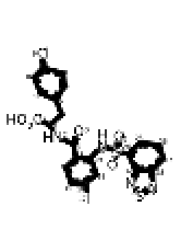 O=C(NC(Cc1ccc(Cl)cc1)C(=O)O)c1ccc(I)cc1NS(=O)(=O)c1cccc2nsnc12